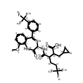 COc1cccc2c1NC(=O)[C@H](NC(=O)C(CCC(F)(F)F)C(CC1CC1)C(=O)O)N=C2c1cccc(C(F)(F)F)c1